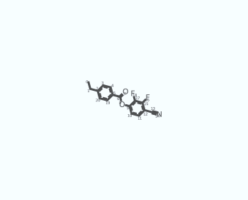 CCc1ccc(C(=O)Oc2ccc(C#N)c(F)c2F)cc1